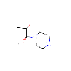 CC(O)C(=O)N1CCNCC1